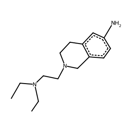 CCN(CC)CCN1CCc2cc(N)ccc2C1